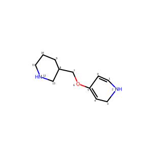 [C]1=CNCC=C1OCC1CCCNC1